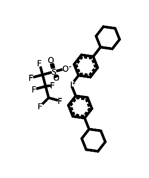 O=S(=O)([O-])C(F)(F)C(F)(F)C(F)F.c1cc(C2CCCCC2)ccc1[I+]c1ccc(C2CCCCC2)cc1